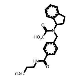 CCCCCCCCCCCCNC(=O)c1ccc(CN(C(=O)C(=O)O)C2CCc3ccccc32)cc1